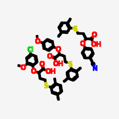 COc1cc(Cl)ccc1OC(CCSc1cc(C)ccc1C)C(=O)O.COc1ccc(OC(CCSc2cc(C)ccc2C)C(=O)O)cc1.Cc1ccc(C)c(SCCC(Oc2ccc(C#N)cc2)C(=O)O)c1